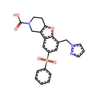 O=C(O)N1CCc2oc3c(Cn4cccn4)cc(S(=O)(=O)c4ccccc4)cc3c2C1